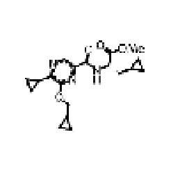 COC(=O)[C@H](CC1CC1)NC(=O)c1cnc(C2CC2)c(OCC2CC2)n1